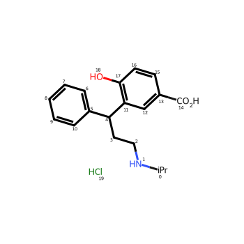 CC(C)NCCC(c1ccccc1)c1cc(C(=O)O)ccc1O.Cl